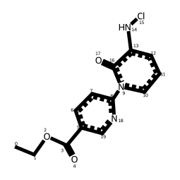 CCOC(=O)c1ccc(-n2cccc(NCl)c2=O)nc1